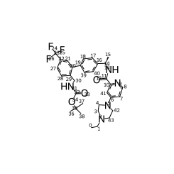 CCN1CCN(c2ccnc(C(=O)N[C@H](C)c3ccc(-c4cc(C(F)(F)F)ccc4CNC(=O)OC(C)(C)C)cc3)c2)CC1